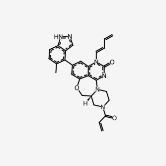 C=C/C=C/n1c(=O)nc2c3c(cc(-c4c(C)ccc5[nH]ncc45)cc31)OC[C@H]1CN(C(=O)C=C)CCN21